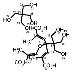 CC(=COC(C=C(C)C(=O)O)(C=C(C)C(=O)O)C(CO)(CO)CO)C(=O)O.OCC(CO)(CO)CO